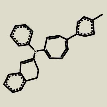 Cc1ccc(C2=C=CC=C(N(C3=Cc4ccccc4CC3)c3ccccc3)C=C2)cc1